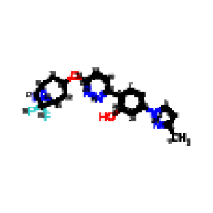 Cc1ccn(-c2ccc(-c3ccc(OC4CC5CC(F)(F)C(C4)N5)nn3)c(O)c2)n1